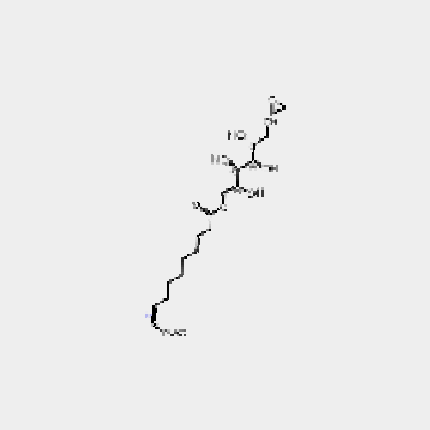 C1CO1.CCCCCCCC/C=C\CCCCCCCC(=O)OC[C@H](O)[C@@H](O)[C@H](O)[C@H](O)CO